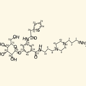 NCCCN1CCN(CCCNC(=O)c2cc(NC(=O)Cc3cccs3)cc(OC3OC(CO)C(O)C(O)C3O)c2)CC1